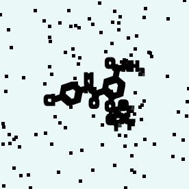 NC(=O)c1ccc(OS(=O)(=O)C(F)(F)F)c(C(=O)Nc2ccc(Cl)cc2)c1